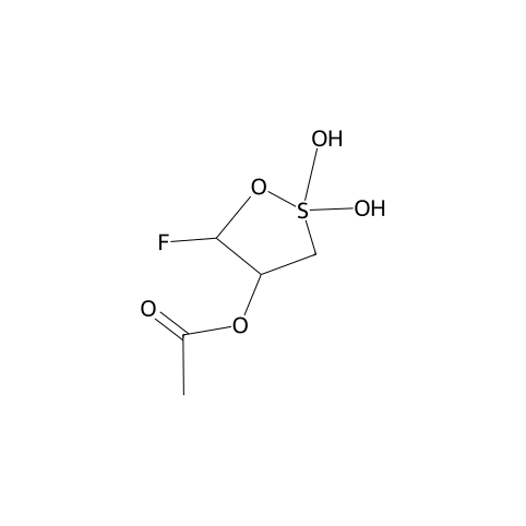 CC(=O)OC1CS(O)(O)OC1F